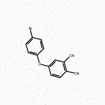 N#Cc1ccc(Oc2ccc(Br)cc2)cc1C#N